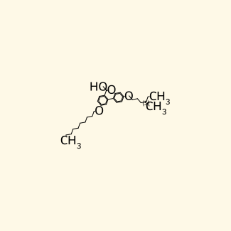 CCCCCCCCCCOc1ccc(C(=O)O)c(-c2ccc(OCCC[C@@H](C)CC)cc2)c1